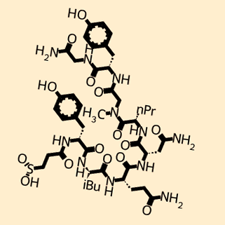 CCC[C@H](NC(=O)[C@H](CC(N)=O)NC(=O)[C@H](CCC(N)=O)NC(=O)[C@@H](NC(=O)[C@@H](Cc1ccc(O)cc1)NC(=O)CCS(=O)O)[C@@H](C)CC)C(=O)N(C)CC(=O)N[C@@H](Cc1ccc(O)cc1)C(=O)NCC(N)=O